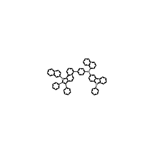 c1ccc(-c2c(-c3ccccc3)n(-c3ccc4ccccc4c3)c3c2ccc2c(-c4ccc(N(c5ccc6c(c5)c5ccccc5n6-c5ccccc5)c5cccc6ccccc56)cc4)cccc23)cc1